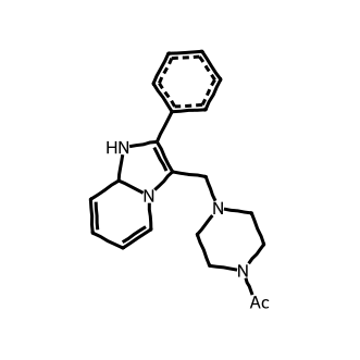 CC(=O)N1CCN(CC2=C(c3ccccc3)NC3C=CC=CN23)CC1